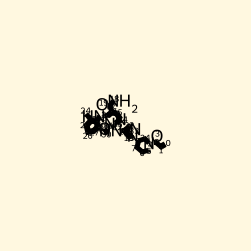 C=CC(=O)N1CCCC(n2cc(Nc3ncc(C(N)=O)c(Nc4c(C)cccc4OC)n3)cn2)C1